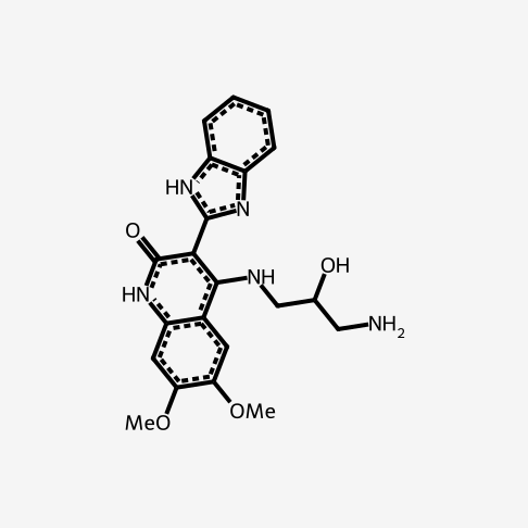 COc1cc2[nH]c(=O)c(-c3nc4ccccc4[nH]3)c(NCC(O)CN)c2cc1OC